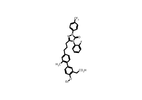 CCOc1ccc(-c2ccc(CCCc3nn(-c4ccc(C(F)(F)F)cc4)c(=O)n3-c3ccccc3F)cc2C)cc1CC(=O)O